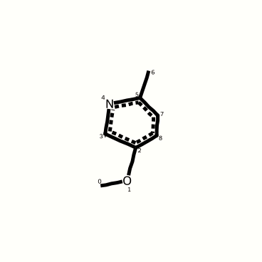 COc1[c]nc(C)cc1